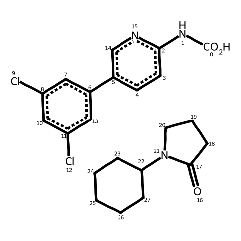 O=C(O)Nc1ccc(-c2cc(Cl)cc(Cl)c2)cn1.O=C1CCCN1C1CCCCC1